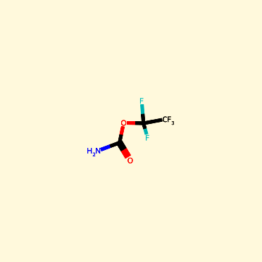 NC(=O)OC(F)(F)C(F)(F)F